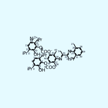 CC(C)c1ccc(C(C)C)c(OC(=O)[O-])c1O.CC(C)c1ccc(C(C)C)c(OC(=O)[O-])c1O.CCCC(=Nc1c(C)cccc1C)C(C)=Nc1c(C)cccc1C.[Ni+2]